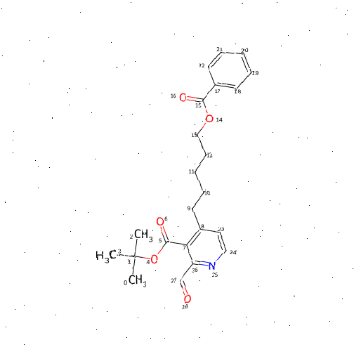 CC(C)(C)OC(=O)c1c(CCCCCOC(=O)c2ccccc2)ccnc1C=O